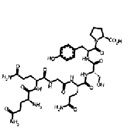 NC(=O)CC[C@H](NC(=O)CNC(=O)[C@H](CCC(N)=O)NC(=O)[C@@H](N)CCC(N)=O)C(=O)N[C@@H](CO)C(=O)N[C@@H](Cc1ccc(O)cc1)C(=O)N1CCC[C@H]1C(=O)O